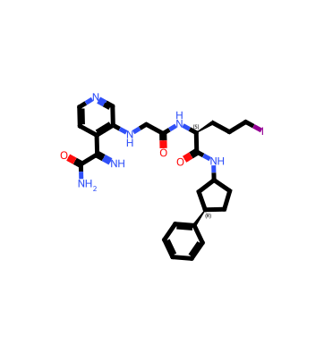 N=C(C(N)=O)c1ccncc1NCC(=O)N[C@@H](CCCI)C(=O)NC1CC[C@@H](c2ccccc2)C1